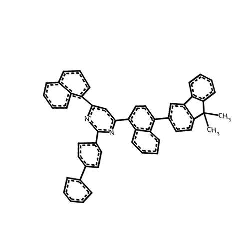 CC1(C)c2ccccc2-c2cc(-c3ccc(-c4cc(-c5cccc6ccccc56)nc(-c5ccc(-c6ccccc6)cc5)n4)c4ccccc34)ccc21